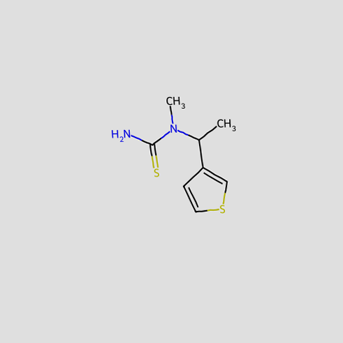 CC(c1ccsc1)N(C)C(N)=S